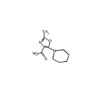 Cc1nc(C(=O)O)c(N2CCCCC2)o1